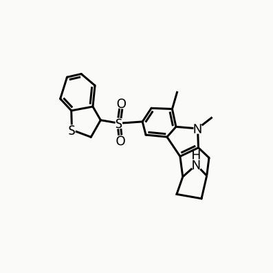 Cc1cc(S(=O)(=O)C2CSc3ccccc32)cc2c3c(n(C)c12)CC1CCC3N1